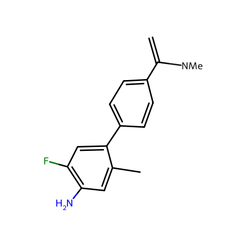 C=C(NC)c1ccc(-c2cc(F)c(N)cc2C)cc1